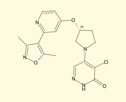 Cc1noc(C)c1-c1cc(O[C@@H]2CCN(c3cn[nH]c(=O)c3Cl)C2)ccn1